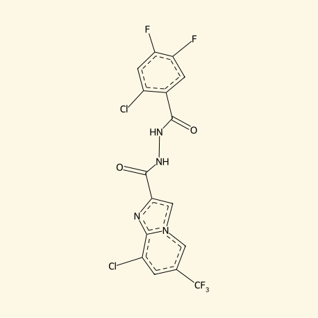 O=C(NNC(=O)c1cc(F)c(F)cc1Cl)c1cn2cc(C(F)(F)F)cc(Cl)c2n1